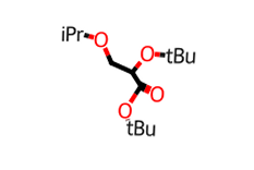 CC(C)OCC(OC(C)(C)C)C(=O)OC(C)(C)C